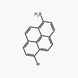 Bc1ccc2ccc3c(Br)ccc4ccc1c2c43